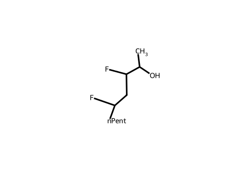 CCCCCC(F)CC(F)C(C)O